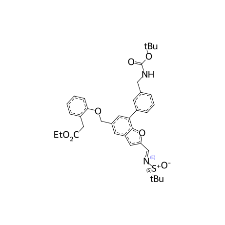 CCOC(=O)Cc1ccccc1OCc1cc(-c2cccc(CNC(=O)OC(C)(C)C)c2)c2oc(/C=N/[S@+]([O-])C(C)(C)C)cc2c1